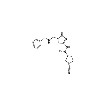 N#CN1CC[C@H](C(=O)Nc2cc(CNCc3ccccc3)[nH]n2)C1